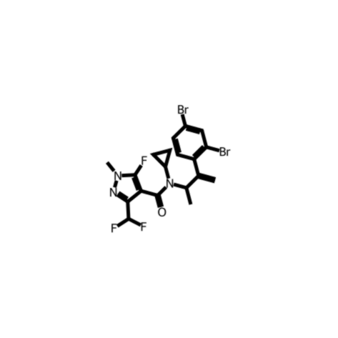 C=C(c1ccc(Br)cc1Br)C(C)N(C(=O)c1c(C(F)F)nn(C)c1F)C1CC1